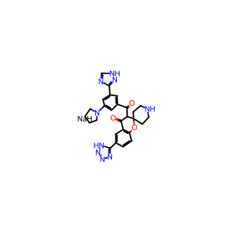 O=C(c1cc(-c2nc[nH]n2)cc(N2CCCC2)c1)C1C(=O)c2cc(-c3nnn[nH]3)ccc2OC12CCNCC2.[NaH]